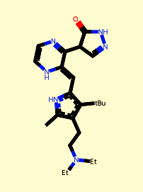 CCN(CC)CCc1c(C)[nH]c(C=C2NC=CN=C2C2C=NNC2=O)c1C(C)(C)C